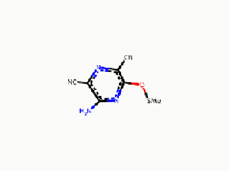 CSOc1nc(N)c(C#N)nc1C#N